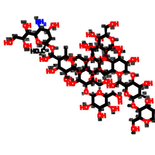 CC1C(O)[C@H](O[C@@H]2OC(CO)[C@H](O)C(O)[C@@H]2O)[C@H](CO)O[C@H]1O[C@@H]1C(O)[C@H](O)C(CO)O[C@@H]1OCC1O[C@@H](O[C@@H]2C(CO)O[C@@H](O[C@@H]3C(CO)O[C@@H](C)[C@@H](C)C3O)[C@@H](C)C2O)[C@H](O)C(O[C@H]2O[C@H](CO)[C@@H](O)C(O)C2O[C@@H]2OC(CO)[C@@H](OC3OC(C)[C@H](C(O)O[C@]4(C(=O)O)C[C@@H](O)[C@@H](N)C(C(O)[C@H](O)CO)O4)[C@H](O)[C@@H]3O)C(O)[C@@H]2C)[C@@H]1O